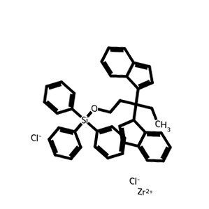 CCC(CCO[Si](c1ccccc1)(c1ccccc1)c1ccccc1)(C1=CC=C2C=CC=CC21)C1C=Cc2ccccc21.[Cl-].[Cl-].[Zr+2]